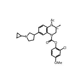 COc1ccc(OC(=O)N2C[C@H](C)N(C(C)=O)c3ccc(C4CCN(C5CC5)C4)cc32)c(Cl)c1